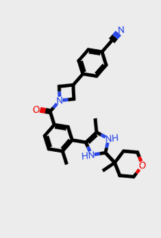 CC1=C(c2cc(C(=O)N3CC(c4ccc(C#N)cc4)C3)ccc2C)NC(C2(C)CCOCC2)N1